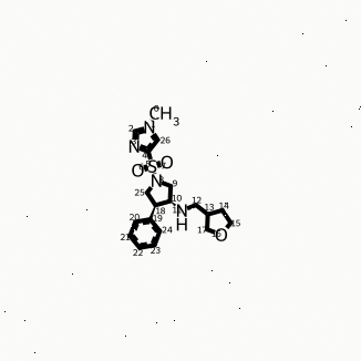 Cn1cnc(S(=O)(=O)N2C[C@H](NCC3CCOC3)[C@@H](c3ccccc3)C2)c1